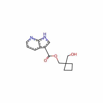 O=C(OCC1(CO)CCC1)c1c[nH]c2ncccc12